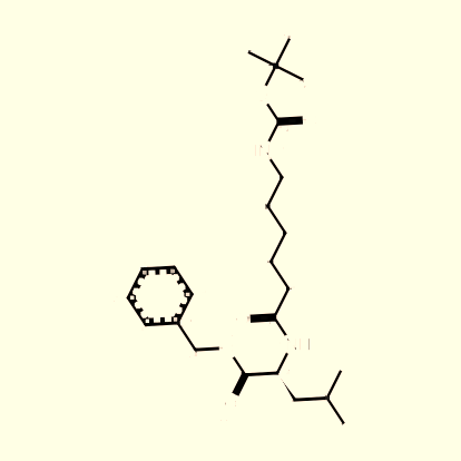 CC(C)C[C@H](NC(=O)CCCCCNC(=O)OC(C)(C)C)C(=O)OCc1ccccc1